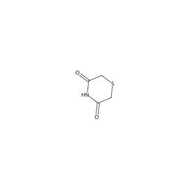 O=C1CSCC(=O)N1